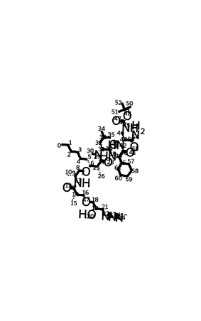 CCCCCC[C@@H](OC[C@@H](C)NC(=O)[C@@H](C)COCC(O)CN=[N+]=[N-])[C@@H](C)C(=O)N(C)[C@@H](CC(C)C)C(=O)N[C@H](C(=O)N[C@@H](CNC(=O)OC(C)(C)C)C(N)=O)C1CCCCC1